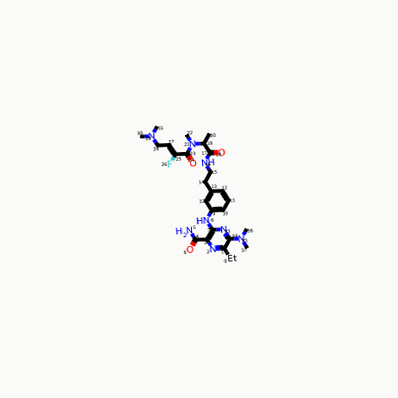 CCc1nc(C(N)=O)c(Nc2cccc(CCNC(=O)C(C)N(C)C(=O)/C(F)=C/CN(C)C)c2)nc1N(C)C